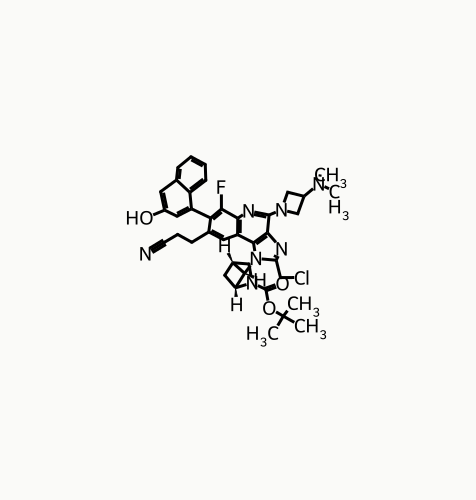 CN(C)C1CN(c2nc3c(F)c(-c4cc(O)cc5ccccc45)c(CCC#N)cc3c3c2nc(CCl)n3[C@H]2[C@@H]3C[C@H]2N(C(=O)OC(C)(C)C)C3)C1